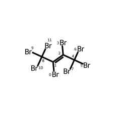 BrC(=C(Br)C(Br)(Br)Br)C(Br)(Br)Br